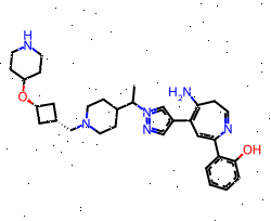 CC(C1CCN(C[C@H]2C[C@H](OC3CCNCC3)C2)CC1)n1cc(C2=C(N)CC=NC(c3ccccc3O)=C2)cn1